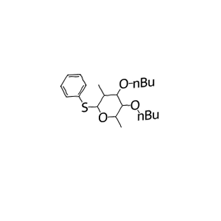 CCCCOC1C(C)OC(Sc2ccccc2)C(C)C1OCCCC